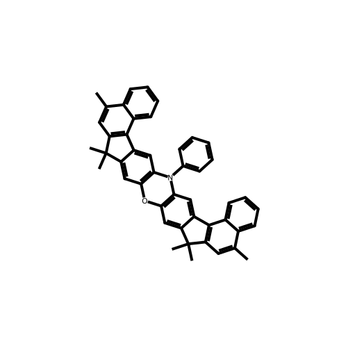 Cc1cc2c(c3ccccc13)-c1cc3c(cc1C2(C)C)Oc1cc2c(cc1N3c1ccccc1)-c1c(cc(C)c3ccccc13)C2(C)C